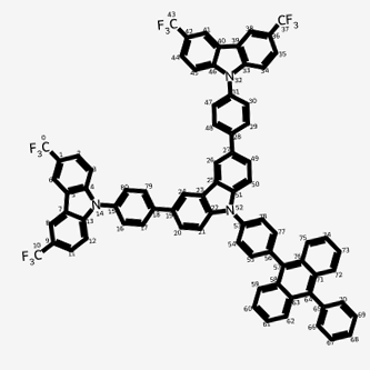 FC(F)(F)c1ccc2c(c1)c1cc(C(F)(F)F)ccc1n2-c1ccc(-c2ccc3c(c2)c2cc(-c4ccc(-n5c6ccc(C(F)(F)F)cc6c6cc(C(F)(F)F)ccc65)cc4)ccc2n3-c2ccc(-c3c4ccccc4c(-c4ccccc4)c4ccccc34)cc2)cc1